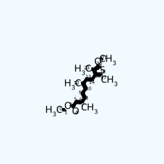 CCOC(=O)C=C(C)C=CC=C(C)C=Cc1c(C)sc(OC)c1C